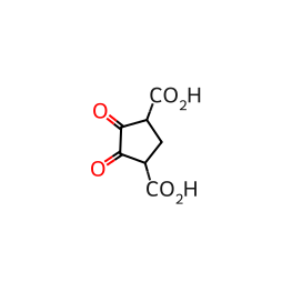 O=C(O)C1CC(C(=O)O)C(=O)C1=O